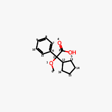 COC(C(=O)O)(c1ccccc1)C1CCCC1